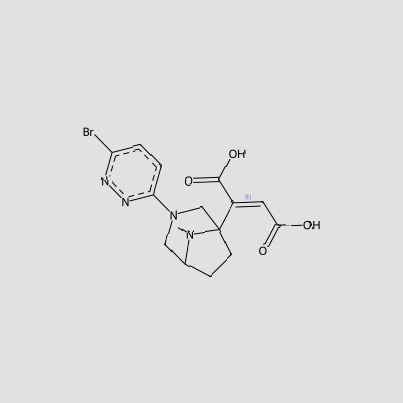 CN1C2CCC1(/C(=C\C(=O)O)C(=O)O)CN(c1ccc(Br)nn1)C2